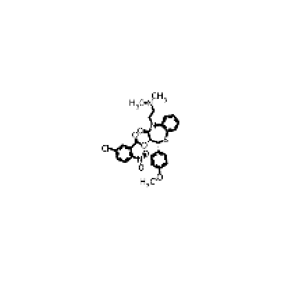 COc1ccc([C@H]2Sc3ccccc3N(CCN(C)C)C(=O)[C@H]2OC(=O)c2cc(Cl)ccc2[N+](=O)[O-])cc1